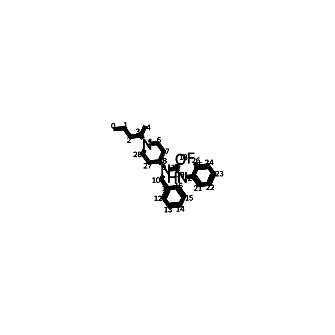 CCCC(C)N1CCC(N(Cc2ccccc2)C(=O)Nc2ccccc2F)CC1